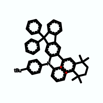 CC(C)(C)c1ccc(N(c2ccccc2)c2cc3c(cc2-c2ccc4c(c2)C(C)(C)CCC4(C)C)-c2ccccc2C3(c2ccccc2)c2ccccc2)cc1